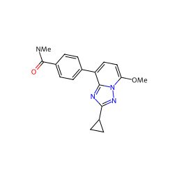 CNC(=O)c1ccc(-c2ccc(OC)n3nc(C4CC4)nc23)cc1